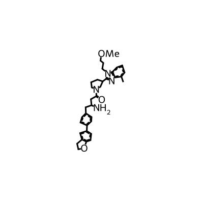 COCCCn1c(C2CCCN(C(=O)CC(N)Cc3ccc(-c4ccc5c(c4)CCO5)cc3)C2)nc2c(C)cccc21